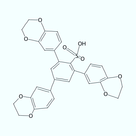 O=S(=O)(O)c1c(-c2ccc3c(c2)OCCO3)cc(-c2ccc3c(c2)OCCO3)cc1-c1ccc2c(c1)OCCO2